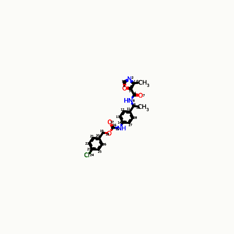 Cc1ncoc1C(=O)NC(C)c1ccc(NC(=O)OCc2ccc(Cl)cc2)cc1